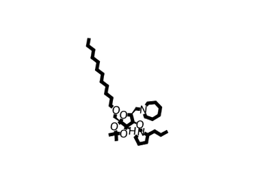 CCCCCCCCCCCCOC[C@@]12O[C@@H](CN3CCCCCC3)[C@@H](ON3CCCC3CCC)[C@@H]1OC(C)(C)O2